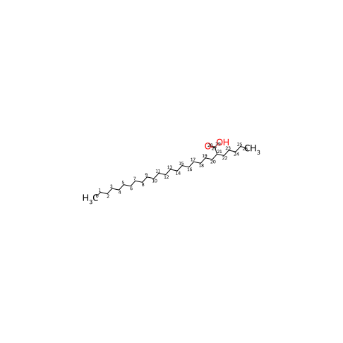 CCCCCCCCCCCCCCCCCCCCCC(CCCCC)C(=O)O